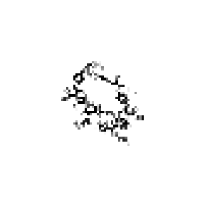 CCN(Cc1cc[n+](CC2=C(C(=O)O)N3C(=O)[C@@H](NC(=O)/C(=N\OC)c4csc(N)n4)[C@H]3SC2)cc1)C(=O)CSCCSCC(=O)N(CC)Cc1cc[n+](CC2=C(C(=O)O)N3C(=O)[C@@H](NC(=O)/C(=N\OC)c4csc(N)n4)[C@H]3SC2)cc1